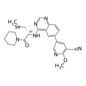 COc1ncc(-c2ccc3ncnc(N[C@@H](C[Se]C)C(=O)N4CCCCC4)c3c2)cc1C#N